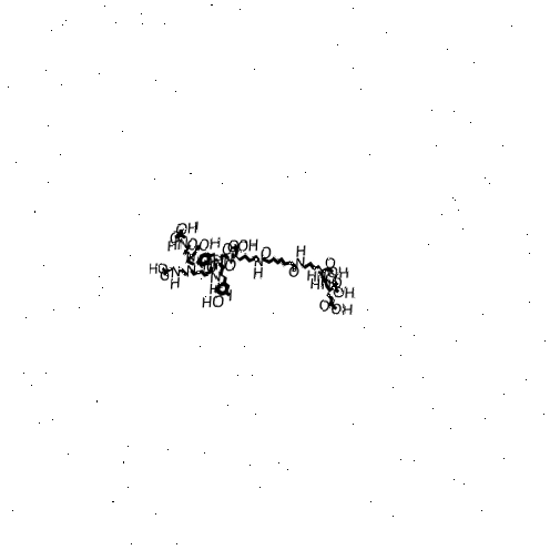 O=C(O)CC[C@H](NC(=O)N[C@@H](CCCCNC(=O)CCCCCCC(=O)NCCCC[C@@H](NC(=O)[C@@H](Cc1ccccc1)NC(=O)[C@@H](Cc1ccc(O)c(I)c1)NC(=O)CCCN(CCNCC(=O)O)CCN(CCNCC(=O)O)CC(=O)O)C(=O)O)C(=O)O)C(=O)O